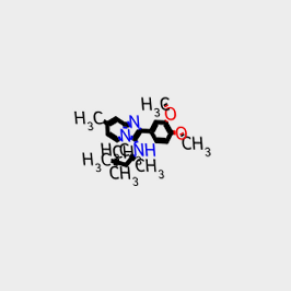 COc1ccc(-c2nc3cc(C)ccn3c2NC(C)(C)CC(C)(C)C)cc1OC